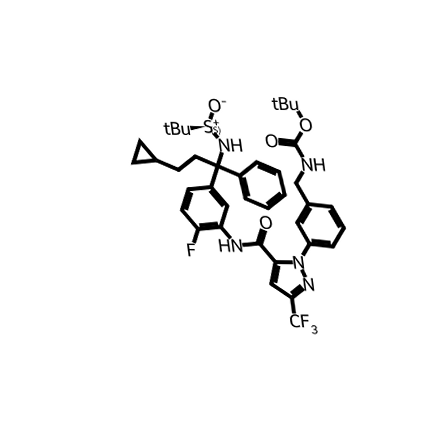 CC(C)(C)OC(=O)NCc1cccc(-n2nc(C(F)(F)F)cc2C(=O)Nc2cc(C(CCC3CC3)(N[S@+]([O-])C(C)(C)C)c3ccccc3)ccc2F)c1